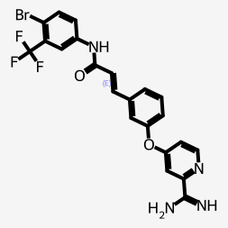 N=C(N)c1cc(Oc2cccc(/C=C/C(=O)Nc3ccc(Br)c(C(F)(F)F)c3)c2)ccn1